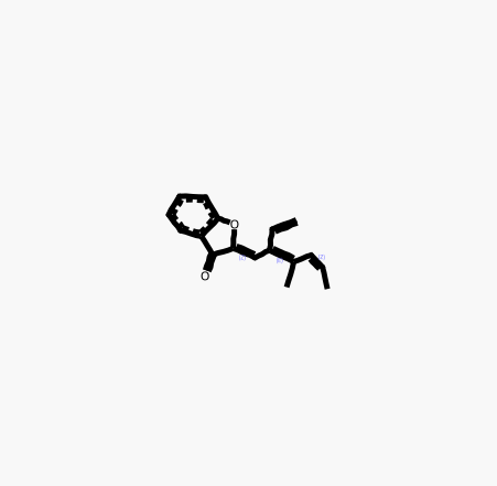 C=CC(/C=C1\Oc2ccccc2C1=O)=C(C)\C=C/C